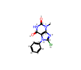 Cn1c(=O)[nH]c(=O)c2c1nc(Br)n2-c1ccccc1